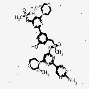 C[C@@H]1COCCN1c1cc(N=S(C)(C)=O)nc(-c2cc(O)cc(CS(C)(=O)=Nc3cc(N4CCOC[C@H]4C)nc(-c4cnc(N)nc4)n3)c2)n1